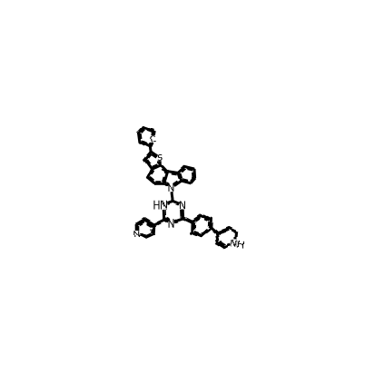 C1=CC(c2ccc(C3=NC(n4c5ccccc5c5c6sc(-c7ccccc7)cc6ccc54)NC(c4ccncc4)=N3)cc2)=CCN1